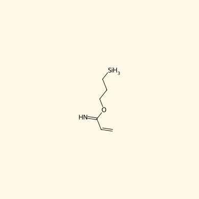 C=CC(=N)OCCC[SiH3]